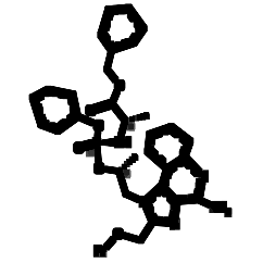 CCOCc1nc2c(N)nc3ccccc3c2n1C[C@@H](C)O[P@@](=O)(N[C@@H](C)C(=O)OCc1ccccc1)Oc1ccccc1